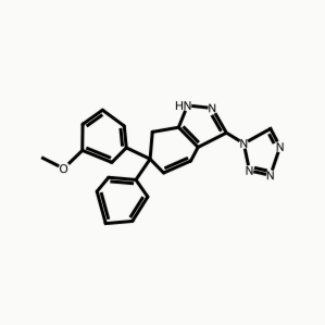 COc1cccc(C2(c3ccccc3)C=Cc3c(-n4cnnn4)n[nH]c3C2)c1